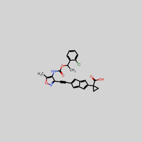 Cc1onc(C#CC2=CC3=CC(C4(C(=O)O)CC4)=CC3=C2)c1NC(=O)OC(C)c1ccccc1Cl